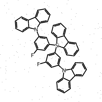 Fc1cc(-n2c3ccccc3c3ccccc32)cc([Si]2(c3cc(F)cc(-n4c5ccccc5c5ccccc54)c3)c3ccccc3-c3ccccc32)c1